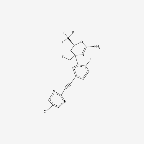 NC1=NC(CF)(c2cc(C#Cc3ncc(Cl)cn3)ccc2F)C[C@@H](C(F)(F)F)O1